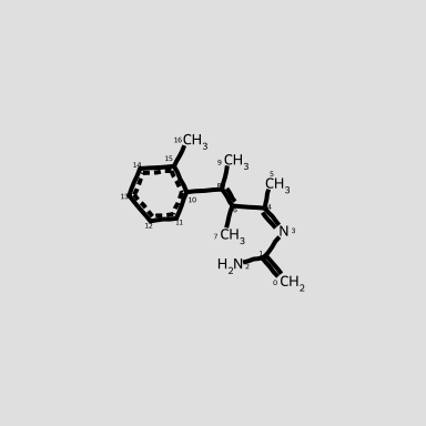 C=C(N)/N=C(C)\C(C)=C(/C)c1ccccc1C